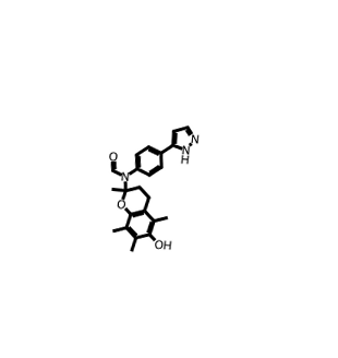 Cc1c(C)c2c(c(C)c1O)CCC(C)(N(C=O)c1ccc(-c3ccn[nH]3)cc1)O2